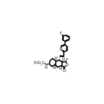 CCOC(=O)N[C@H]1CC[C@@H]2[C@@H](C1)C[C@H]1C(=O)O[C@H](C)[C@H]1[C@H]2/C=C/c1ccc(-c2cccc(F)c2)cn1